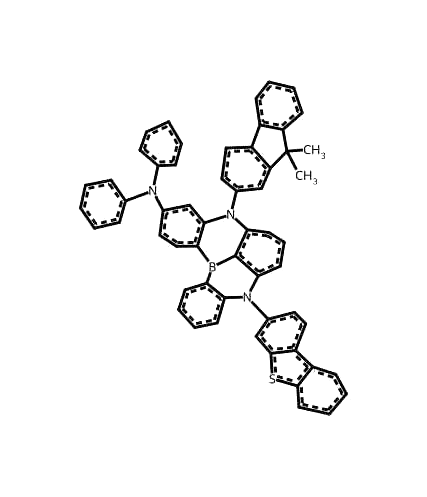 CC1(C)c2ccccc2-c2ccc(N3c4cc(N(c5ccccc5)c5ccccc5)ccc4B4c5ccccc5N(c5ccc6c(c5)sc5ccccc56)c5cccc3c54)cc21